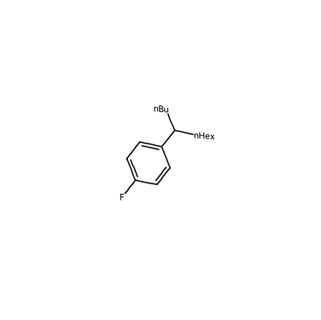 CCCCCCC(CCCC)c1ccc(F)cc1